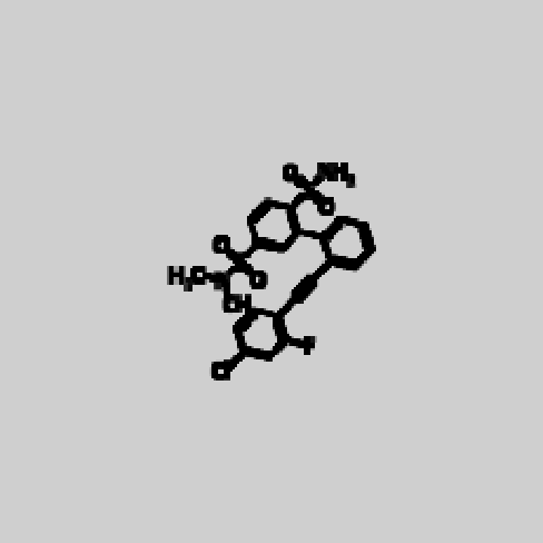 CN(C)S(=O)(=O)c1ccc(S(N)(=O)=O)c(-c2ccccc2C#Cc2ccc(Cl)cc2F)c1